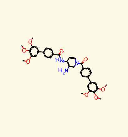 COc1cc(-c2ccc(C(=O)NC3=C(N)CN(C(=O)c4ccc(-c5cc(OC)c(OC)c(OC)c5)cc4)C=C3)cc2)cc(OC)c1OC